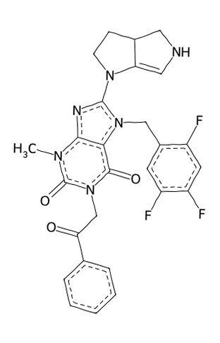 Cn1c(=O)n(CC(=O)c2ccccc2)c(=O)c2c1nc(N1CCC3CNC=C31)n2Cc1cc(F)c(F)cc1F